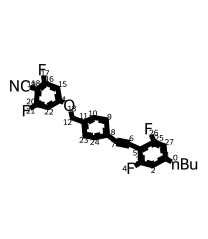 CCCCc1cc(F)c(C#Cc2ccc(COc3cc(F)c(C#N)c(F)c3)cc2)c(F)c1